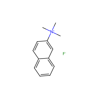 C[N+](C)(C)c1ccc2ccccc2c1.[F-]